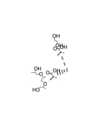 C=C.C=C.C=C.C=C.C=C.C=C.C=C.C=C(C)C(=O)O.C=C(C)C(=O)O.CC(O)COC(C)COC(C)CO.OCCO